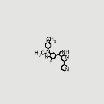 Cc1nc2c(F)cc(-c3c[nH]c4ncc(-c5cccnc5)cc34)cc2n1C1CCN(C)CC1